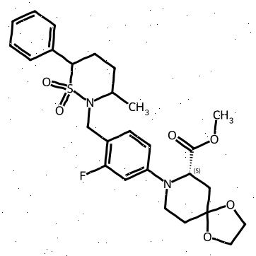 COC(=O)[C@@H]1CC2(CCN1c1ccc(CN3C(C)CCC(c4ccccc4)S3(=O)=O)c(F)c1)OCCO2